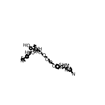 CNc1c(-c2cn3c(n2)sc2cc(OCCOCCOCCOCCOCC(=O)N[C@H](C(=O)C4C[C@H](O)C[C@H]4C(=O)NCc4ccc(-c5scnc5C)cc4)C(C)(C)C)ccc23)nc2cc(C#N)ccn12